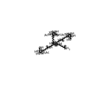 CC(=O)N[C@H]1C(O)[C@@H](O)C(CO)O[C@H]1OCCCCC(=O)NCCCCC(NC(=O)CCCCO[C@@H]1OC(CO)[C@H](O)C(O)[C@@H]1NC(C)=O)C(=O)NC(CCCCNC(=O)CCCCO[C@@H]1OC(CO)[C@H](O)C(O)[C@@H]1NC(C)=O)C(=O)NCCCCCC(N)=O